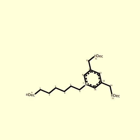 CCCCCCCCCCCCCCCC[n+]1cc(CCCCCCCCCCC)cc(CCCCCCCCCCC)c1